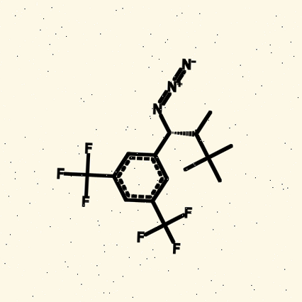 C[C]([C@@H](N=[N+]=[N-])c1cc(C(F)(F)F)cc(C(F)(F)F)c1)C(C)(C)C